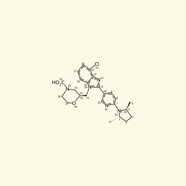 C[C@H]1CC[C@H](C)N1c1ccc(-c2nc3c(Cl)cccc3n2C[C@@H]2CN(C(=O)O)CCO2)cn1